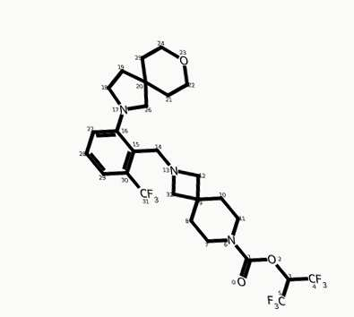 O=C(OC(C(F)(F)F)C(F)(F)F)N1CCC2(CC1)CN(Cc1c(N3CCC4(CCOCC4)C3)cccc1C(F)(F)F)C2